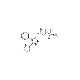 CS(=O)(=O)c1cnc(Sc2nnc(-c3cccs3)n2-c2ccccc2)s1